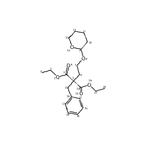 CCOC(=O)C(CCOC1CCCCO1)(Cc1ccccc1)C(=O)OCC